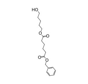 O=C(CCCCC(=O)OCc1ccccc1)OCCCCCO